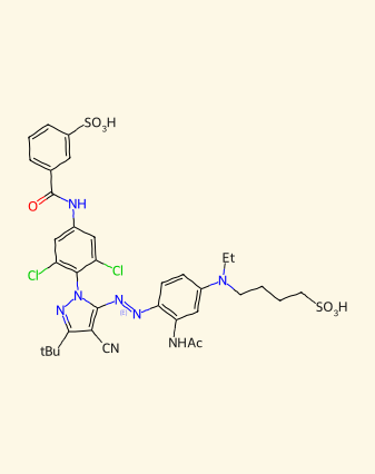 CCN(CCCCS(=O)(=O)O)c1ccc(/N=N/c2c(C#N)c(C(C)(C)C)nn2-c2c(Cl)cc(NC(=O)c3cccc(S(=O)(=O)O)c3)cc2Cl)c(NC(C)=O)c1